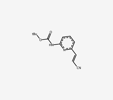 CC(C)(C)OC(=O)Nc1cccc(/C=C/C#N)n1